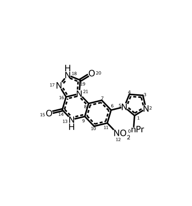 CCCc1nccn1-c1cc2c(cc1[N+](=O)[O-])[nH]c(=O)c1n[nH]c(=O)n12